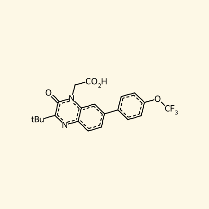 CC(C)(C)c1nc2ccc(-c3ccc(OC(F)(F)F)cc3)cc2n(CC(=O)O)c1=O